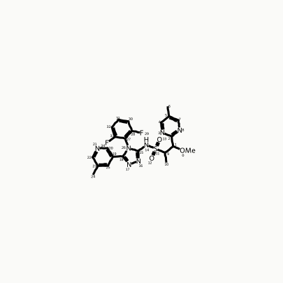 COC(c1ncc(C)cn1)C(C)S(=O)(=O)Nc1nnc(-c2cncc(C)c2)n1-c1c(F)cccc1F